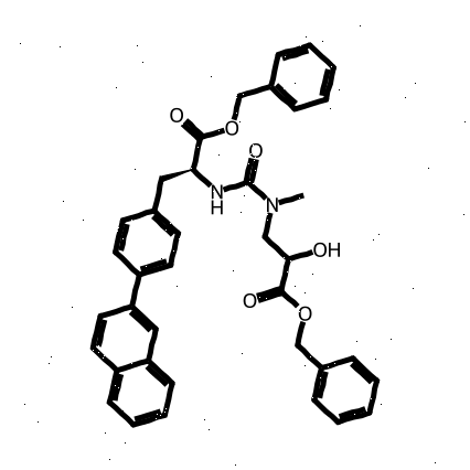 CN(CC(O)C(=O)OCc1ccccc1)C(=O)N[C@@H](Cc1ccc(-c2ccc3ccccc3c2)cc1)C(=O)OCc1ccccc1